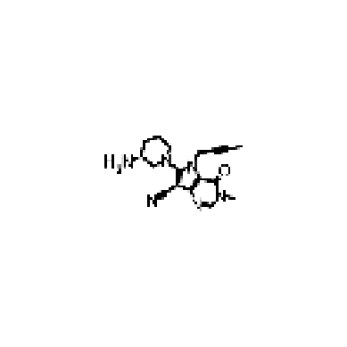 CC#CCn1c(N2CCC[C@H](N)C2)c(C#N)c2ncn(C)c(=O)c21